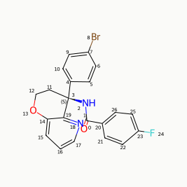 O=C(N[C@]1(c2ccc(Br)cc2)CCOc2cccnc21)c1ccc(F)cc1